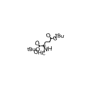 CC(C)(C)OC(=O)CC[C@@H](NC=O)C(=O)OC(C)(C)C